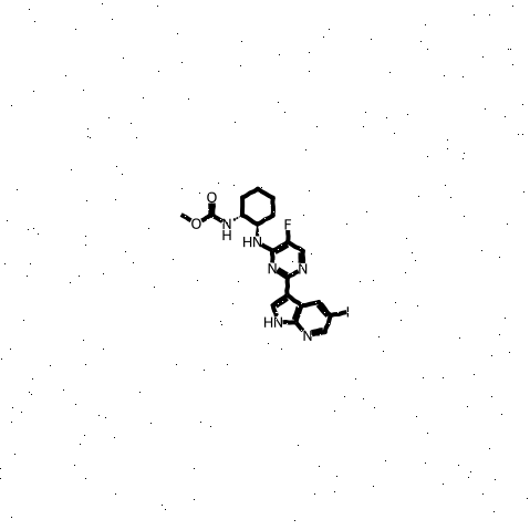 COC(=O)N[C@@H]1CCCC[C@H]1Nc1nc(-c2c[nH]c3ncc(I)cc23)ncc1F